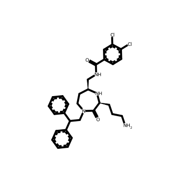 NCCC[C@@H]1N[C@H](CNC(=O)c2ccc(Cl)c(Cl)c2)CCN(CC(c2ccccc2)c2ccccc2)C1=O